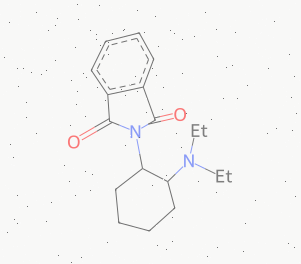 CCN(CC)C1CCCCC1N1C(=O)c2ccccc2C1=O